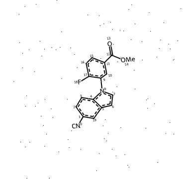 [C-]#[N+]c1ccc2c(ccn2-c2cc(C(=O)OC)ccc2F)c1